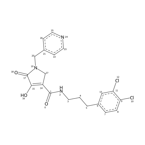 O=C(NCCCc1ccc(Cl)c(Cl)c1)C1=C(O)C(=O)N(Cc2ccncc2)C1